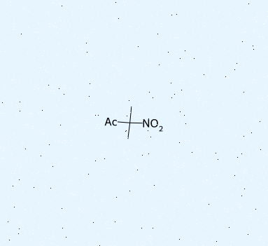 CC(=O)C(C)(C)[N+](=O)[O-]